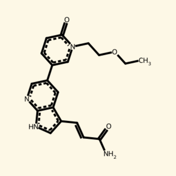 CCOCCn1cc(-c2cnc3[nH]cc(C=CC(N)=O)c3c2)ccc1=O